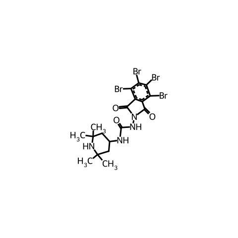 CC1(C)CC(NC(=O)NN2C(=O)c3c(Br)c(Br)c(Br)c(Br)c3C2=O)CC(C)(C)N1